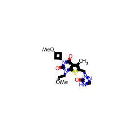 COCCn1c(=O)n([C@H]2C[C@@H](OC)C2)c(=O)c2c(C)c(Cn3nc[nH]c3=O)sc21